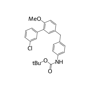 COc1ccc(Cc2ccc(NC(=O)OC(C)(C)C)cc2)cc1-c1cccc(Cl)c1